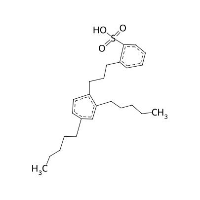 CCCCCc1ccc(CCCc2ccccc2S(=O)(=O)O)c(CCCCC)c1